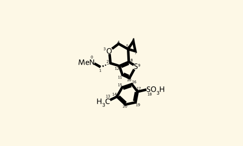 CNC[C@@H]1OCC2(CC2)c2sccc21.Cc1ccc(S(=O)(=O)O)cc1